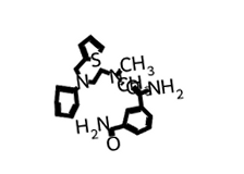 CN(C)CCN(Cc1cccs1)c1ccccc1.NC(=O)c1cccc(C(N)=O)c1